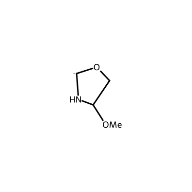 COC1CO[CH]N1